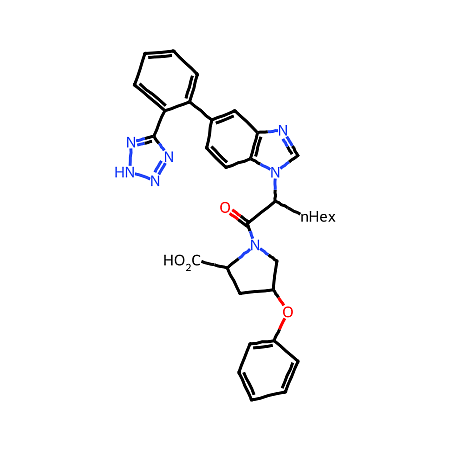 CCCCCCC(C(=O)N1CC(Oc2ccccc2)CC1C(=O)O)n1cnc2cc(-c3ccccc3-c3nn[nH]n3)ccc21